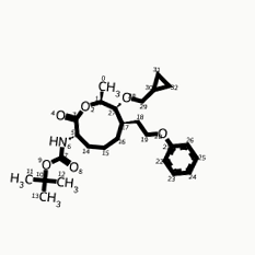 C[C@@H]1OC(=O)[C@@H](NC(=O)OC(C)(C)C)CCC[C@H](CCOc2ccccc2)[C@H]1OCC1CC1